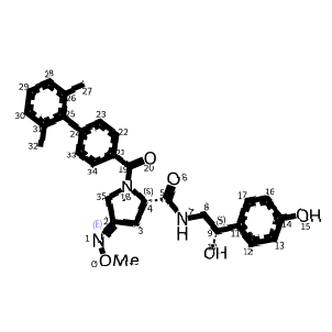 CO/N=C1\C[C@@H](C(=O)NC[C@@H](O)c2ccc(O)cc2)N(C(=O)c2ccc(-c3c(C)cccc3C)cc2)C1